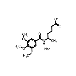 COc1cc(C(=O)NC(C)CCCC(=O)[O-])cc(OC)c1OC.[Na+]